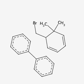 CC1(C)C=CC=CC1CBr.c1ccc(-c2ccccc2)cc1